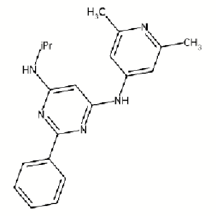 Cc1cc(Nc2cc(NC(C)C)nc(-c3ccccc3)n2)cc(C)n1